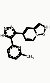 Cc1cccc(-c2[nH]nnc2C2=CC3=CNSN3C=C2)n1